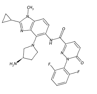 Cn1c(C2CC2)nc2c(N3CC[C@@H](N)C3)c(NC(=O)c3ccc(=O)n(-c4c(F)cccc4F)n3)ccc21